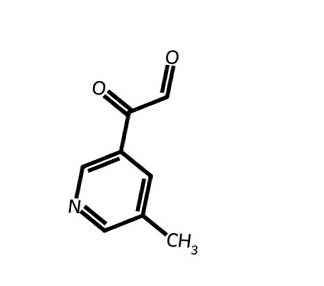 Cc1cncc(C(=O)C=O)c1